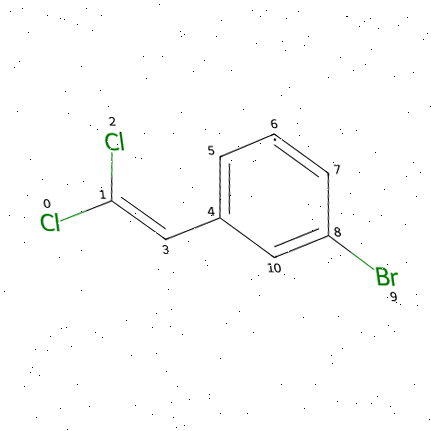 ClC(Cl)=Cc1c[c]cc(Br)c1